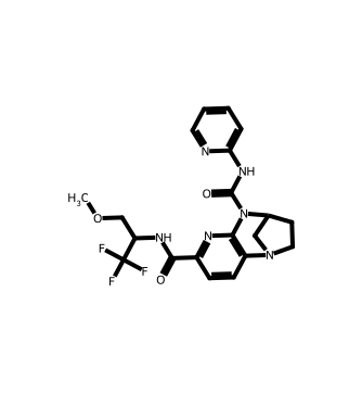 COCC(NC(=O)c1ccc2c(n1)N(C(=O)Nc1ccccn1)C1CCN2C1)C(F)(F)F